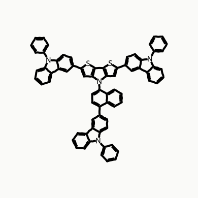 c1ccc(-n2c3ccccc3c3cc(-c4cc5c(s4)c4sc(-c6ccc7c(c6)c6ccccc6n7-c6ccccc6)cc4n5-c4ccc(-c5ccc6c(c5)c5ccccc5n6-c5ccccc5)c5ccccc45)ccc32)cc1